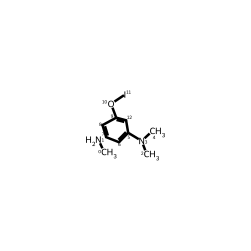 CN.CN(C)c1cccc(OI)c1